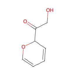 O=C(CO)C1C=CC=CO1